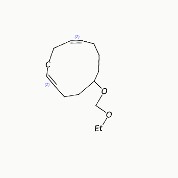 CCOCOC1CC/C=C\CC/C=C\CCC1